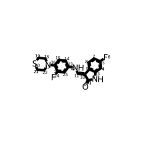 O=C1Nc2cc(F)ccc2/C1=C\Nc1ccc(N2CCSCC2)c(F)c1